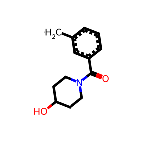 [CH2]c1cccc(C(=O)N2CCC(O)CC2)c1